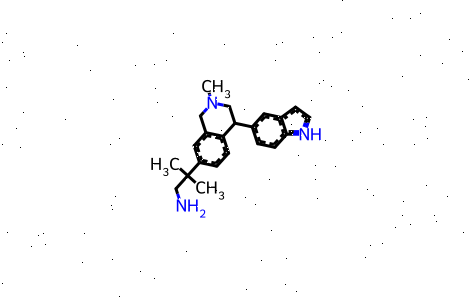 CN1Cc2cc(C(C)(C)CN)ccc2C(c2ccc3[nH]ccc3c2)C1